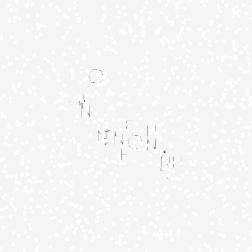 C[C@H]1CN(c2c(F)cc(NC3CCC(=O)NC3=O)cc2F)C[C@H](C)N1CC1CCN(C(=O)OCc2ccccc2)CC1